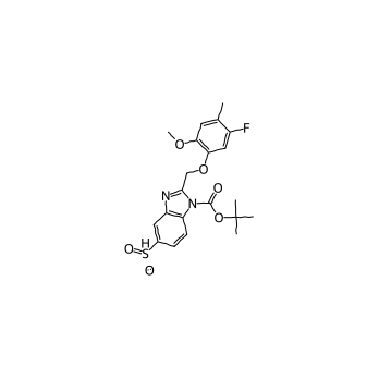 COc1cc(C)c(F)cc1OCc1nc2cc([SH](=O)=O)ccc2n1C(=O)OC(C)(C)C